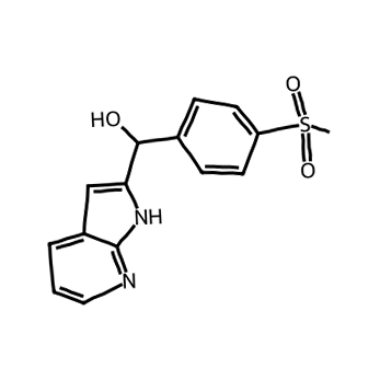 CS(=O)(=O)c1ccc(C(O)c2cc3cccnc3[nH]2)cc1